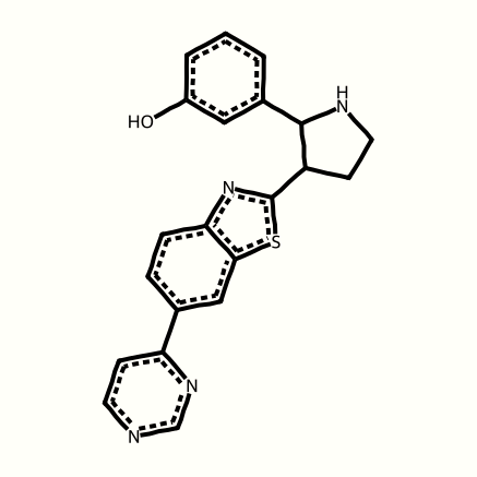 Oc1cccc(C2NCCC2c2nc3ccc(-c4ccncn4)cc3s2)c1